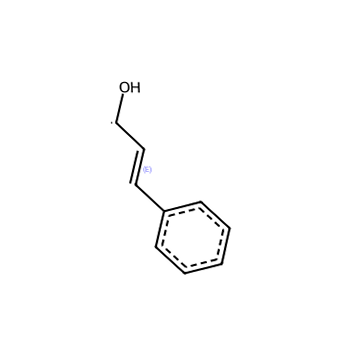 O[CH]/C=C/c1ccccc1